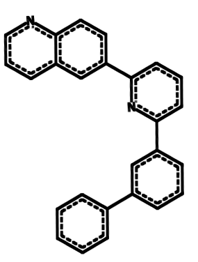 c1ccc(-c2cccc(-c3cccc(-c4ccc5ncccc5c4)n3)c2)cc1